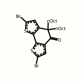 CCCCCCCCC1(CCCCCCCC)C(=O)c2cc(Br)sc2-c2sc(Br)cc21